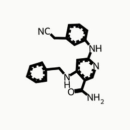 N#CCc1cccc(Nc2cc(NCc3ccccc3)c(C(N)=O)cn2)c1